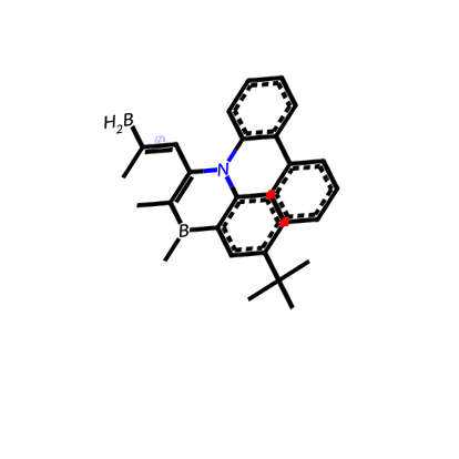 B/C(C)=C/C1=C(C)B(C)c2cc(C(C)(C)C)ccc2N1c1ccccc1-c1ccccc1